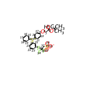 CC(C)(C)OC(=O)COc1ccc([S+](c2ccccc2)c2ccccc2)cc1.O=S(=O)([O-])CC(F)(F)F